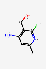 Cc1cc(N)c(CO)c(Cl)n1